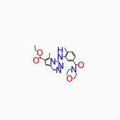 CCOC(=O)c1cc2cnnc(Nc3cc(C(=O)N4CCOCC4)ccc3C)n2c1C